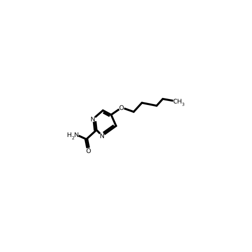 CCCCCOc1cnc(C(N)=O)nc1